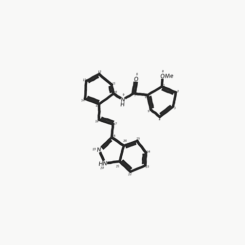 COc1ccccc1C(=O)Nc1ccccc1/C=C/c1n[nH]c2ccccc12